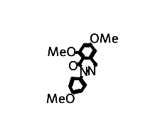 COc1ccc(-n2ncc3cc(OC)cc(OC)c3c2=O)cc1